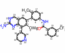 COc1c(-c2cc(NC(=O)c3cccc(C(F)(F)F)c3)ccc2C)cc2cnc(N)nc2c1-c1cccnc1